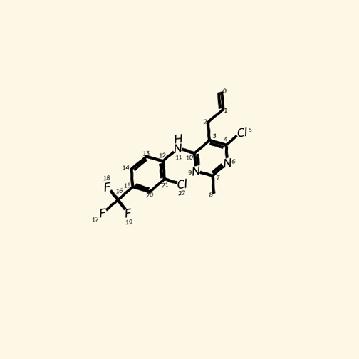 C=CCc1c(Cl)nc(C)nc1Nc1ccc(C(F)(F)F)cc1Cl